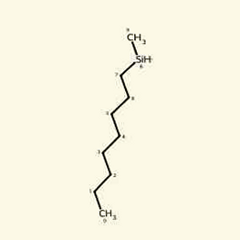 CCCCCCCC[SiH]C